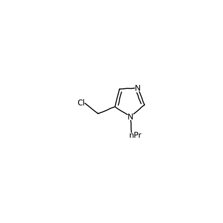 CCCn1cncc1CCl